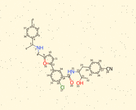 Cc1ccc(C(C)NCc2ccc(-c3ccc(Cl)c(C(=O)NC(Cc4ccc(C#N)cc4)C(C)O)c3)o2)cc1